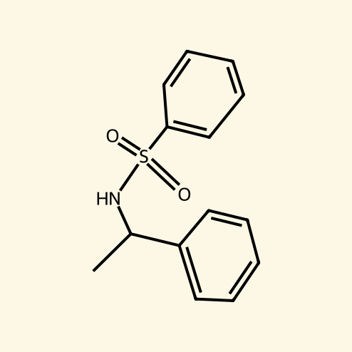 CC(NS(=O)(=O)c1ccccc1)c1ccccc1